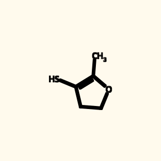 CC1=C(S)CCO1